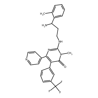 Cc1ccccc1C(N)CCNc1nc(-c2ccncc2)c(-c2cccc(C(F)(F)F)c2)c(=O)n1C